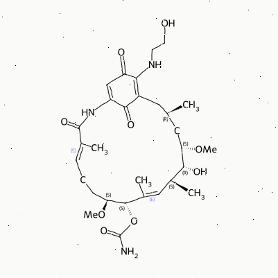 CO[C@H]1C[C@H](C)CC2=C(NCCO)C(=O)C=C(NC(=O)/C(C)=C/CC[C@H](OC)[C@@H](OC(N)=O)/C(C)=C/[C@H](C)[C@H]1O)C2=O